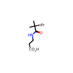 CCCC(C)(C)C(=O)NCCC(=O)O